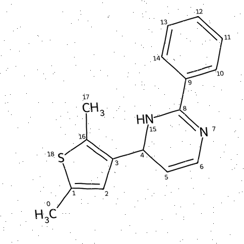 Cc1cc(C2C=CN=C(c3ccccc3)N2)c(C)s1